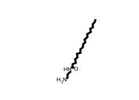 CCCCCCCCCCCCCCCCCCCC(=O)NCCCN